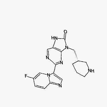 O=c1[nH]c2cnc(-c3cnc4ccc(F)cn34)nc2n1C[C@H]1CCCNC1